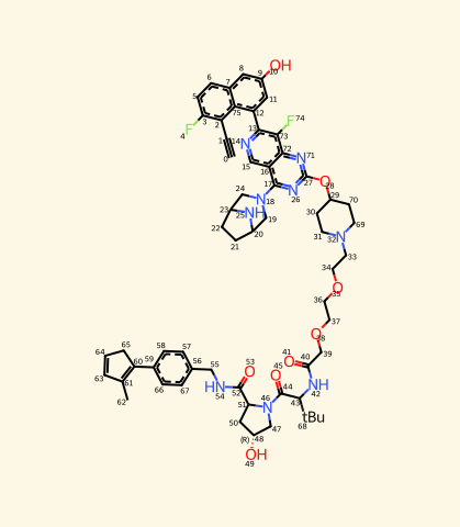 C#Cc1c(F)ccc2cc(O)cc(-c3ncc4c(N5CC6CCC(C5)N6)nc(OC5CCN(CCOCCOCC(=O)NC(C(=O)N6C[C@H](O)CC6C(=O)NCc6ccc(C7=C(C)C=CC7)cc6)C(C)(C)C)CC5)nc4c3F)c12